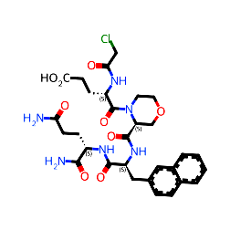 NC(=O)CC[C@H](NC(=O)[C@H](Cc1ccc2ccccc2c1)NC(=O)[C@@H]1COCCN1C(=O)[C@H](CCC(=O)O)NC(=O)CCl)C(N)=O